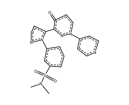 CN(C)S(=O)(=O)c1cccc(-n2nccc2-c2nn(-c3ccncc3)ccc2=O)c1